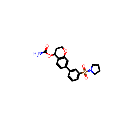 NC(=O)OC1CCOc2cc(-c3cccc(S(=O)(=O)N4CCCC4)c3)ccc21